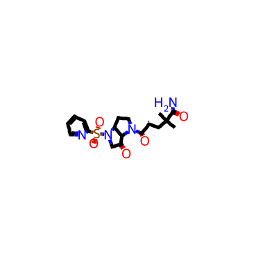 CC(C)(C[CH]C(=O)N1CCC2C1C(=O)CN2S(=O)(=O)c1ccccn1)C(N)=O